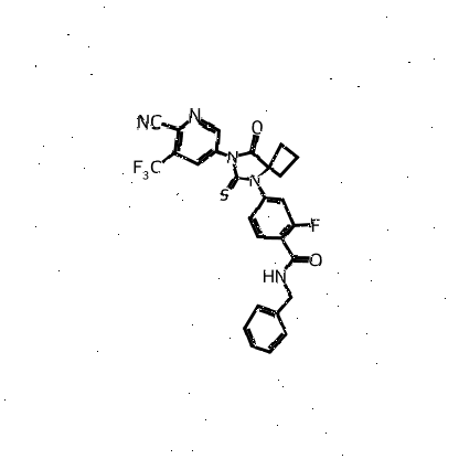 N#Cc1ncc(N2C(=O)C3(CCC3)N(c3ccc(C(=O)NCc4ccccc4)c(F)c3)C2=S)cc1C(F)(F)F